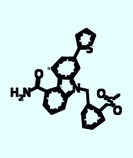 CS(=O)(=O)c1ccccc1Cn1c2cc(-c3cccs3)c[c]c2c2c(C(N)=O)cccc21